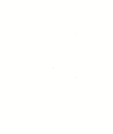 CC(C)C(C#N)(CCCN1CCC(=C2c3ccccc3C=Cc3ccccc32)CC1)c1cccc(C(F)(F)F)c1